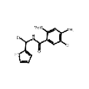 CCC(NC(=O)c1cc(Cl)c(C)cc1OC)c1ccc[nH]1